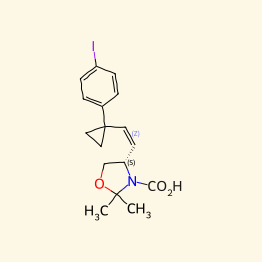 CC1(C)OC[C@H](/C=C\C2(c3ccc(I)cc3)CC2)N1C(=O)O